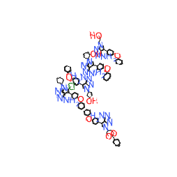 Nc1ncnc2c1c(-c1ccc(Oc3ccccc3)cc1)c(Cl)n2C1CCCC1.Nc1ncnc2c1c(-c1ccc(Oc3ccccc3)cc1)cn2C1C=CC(O)C1.Nc1ncnc2c1c(-c1ccc(Oc3ccccc3)cc1)cn2C1CCCC1O.Nc1ncnc2c1c(-c1ccc(Oc3ccccc3)cc1)cn2C1COC(c2ccccc2)OC1.Nc1ncnc2c1c(-c1ccc(Oc3ccccc3)cc1)cn2CCO